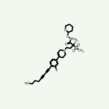 CC(CCN1CC=C(c2ccc(C#CC#CCCCO)c(F)c2)CC1)(C(=O)NOC1CCCCO1)S(C)(=O)=O